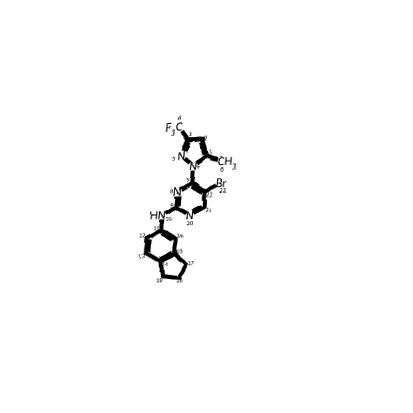 Cc1cc(C(F)(F)F)nn1-c1nc(Nc2ccc3c(c2)CCC3)ncc1Br